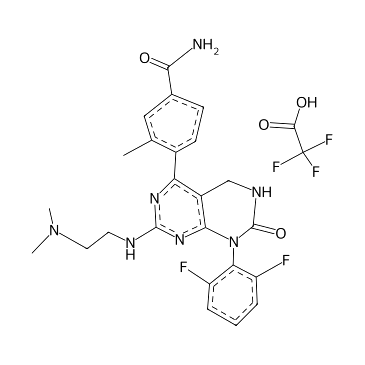 Cc1cc(C(N)=O)ccc1-c1nc(NCCN(C)C)nc2c1CNC(=O)N2c1c(F)cccc1F.O=C(O)C(F)(F)F